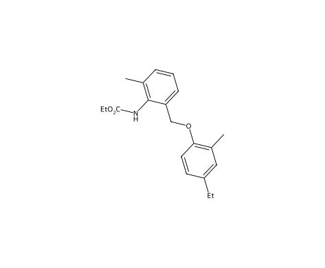 CCOC(=O)Nc1c(C)cccc1COc1ccc(CC)cc1C